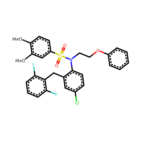 COc1ccc(S(=O)(=O)N(CCOc2ccccc2)c2ccc(Cl)cc2Cc2c(F)cccc2F)cc1OC